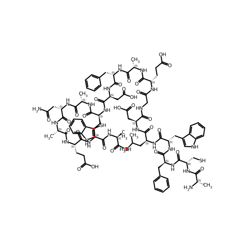 CC(C)C[C@H](NC(=O)[C@H](Cc1c[nH]c2ccccc12)NC(=O)[C@H](Cc1ccccc1)NC(=O)[C@H](CS)NC(=O)[C@H](C)N)C(=O)N[C@@H](CC(=O)O)C(=O)NCC(=O)N[C@@H](CCC(=O)O)C(=O)N[C@@H](C)C(=O)N[C@@H](Cc1ccccc1)C(=O)N[C@@H](CC(=O)O)C(=O)N[C@@H](Cc1c[nH]c2ccccc12)C(=O)N[C@@H](C)C(=O)N[C@@H](CC(N)=O)C(=O)N[C@@H](C)C(=O)N[C@@H](CCC(=O)O)C(=O)N[C@@H](CS)C(=O)N[C@@H](C)C(=O)O